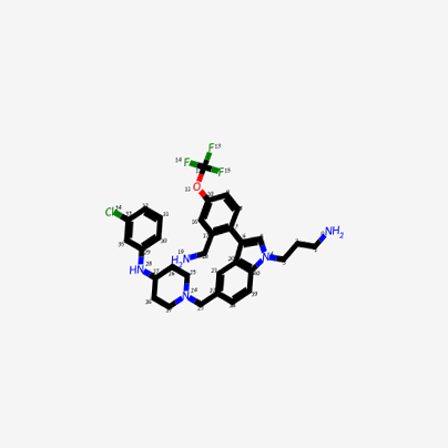 NCCCn1cc(-c2ccc(OC(F)(F)F)cc2CN)c2cc(CN3CCC(Nc4cccc(Cl)c4)CC3)ccc21